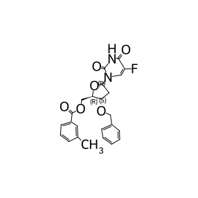 Cc1cccc(C(=O)OC[C@H]2O[C@@H](n3cc(F)c(=O)[nH]c3=O)C[C@@H]2OCc2ccccc2)c1